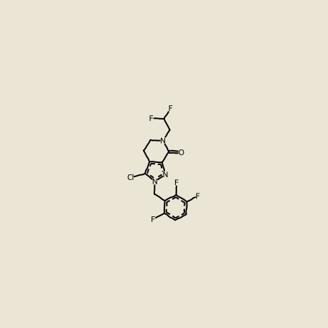 O=C1c2nn(Cc3c(F)ccc(F)c3F)c(Cl)c2CCN1CC(F)F